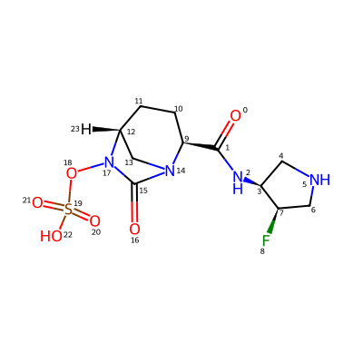 O=C(N[C@H]1CNC[C@H]1F)[C@@H]1CC[C@@H]2CN1C(=O)N2OS(=O)(=O)O